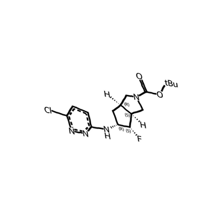 CC(C)(C)OC(=O)N1C[C@@H]2C[C@@H](Nc3ccc(Cl)nn3)[C@@H](F)[C@@H]2C1